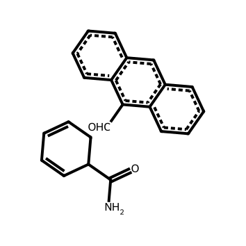 NC(=O)C1C=CC=CC1.O=Cc1c2ccccc2cc2ccccc12